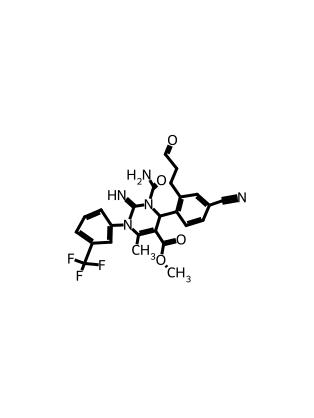 COC(=O)C1=C(C)N(c2cccc(C(F)(F)F)c2)C(=N)N(C(N)=O)C1c1ccc(C#N)cc1CCC=O